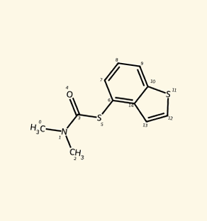 CN(C)C(=O)Sc1cccc2sccc12